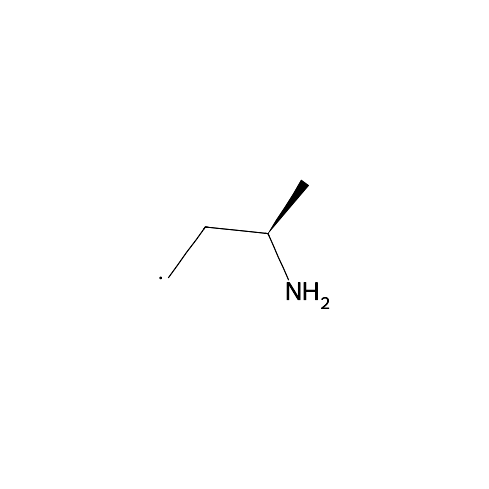 [CH2]C[C@@H](C)N